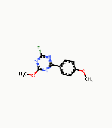 COc1ccc(-c2nc(Cl)nc(OC)n2)cc1